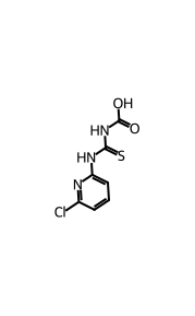 O=C(O)NC(=S)Nc1cccc(Cl)n1